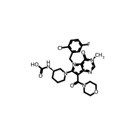 Cn1cnc2c(C(=O)N3CCOCC3)c(N3CCC[C@@H](NC(=O)O)C3)n(Cc3cc(F)ccc3Cl)c2c1=O